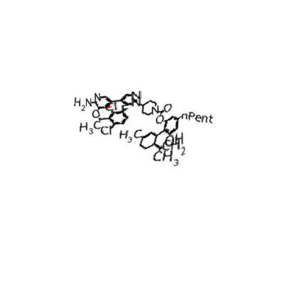 C=C(C)C1CCC(C)=CC1c1c(O)cc(CCCCC)cc1OC(=O)N1CCC(n2cc(-c3cnc(N)c(O[C@H](C)c4c(Cl)ccc(F)c4Cl)c3)cn2)CC1